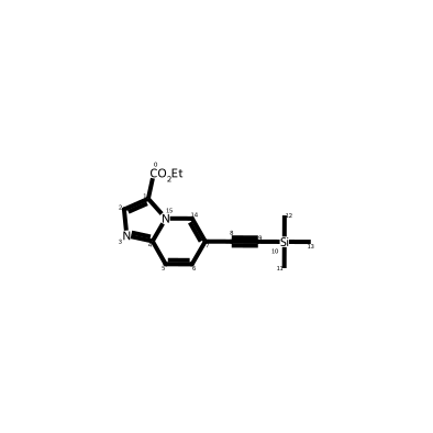 CCOC(=O)c1cnc2ccc(C#C[Si](C)(C)C)cn12